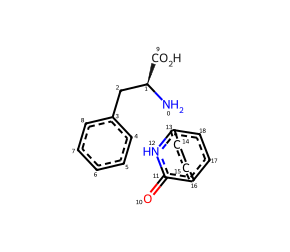 N[C@@H](Cc1ccccc1)C(=O)O.O=c1[nH]c2ccc1cc2